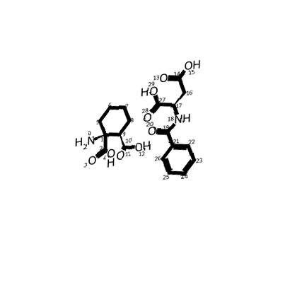 N[C@@]1(C(=O)O)CCCC[C@H]1C(=O)O.O=C(O)C[C@@H](NC(=O)c1ccccc1)C(=O)O